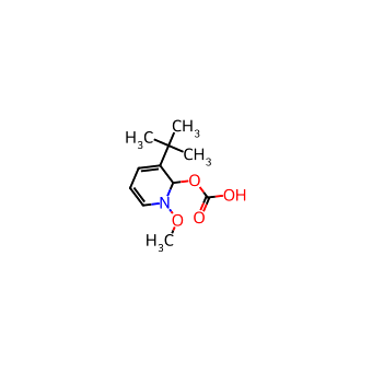 CON1C=CC=C(C(C)(C)C)C1OC(=O)O